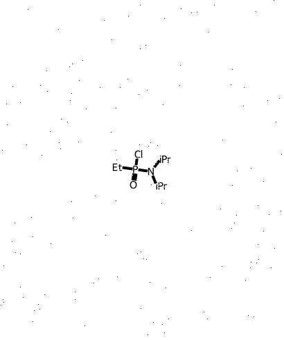 CCP(=O)(Cl)N(C(C)C)C(C)C